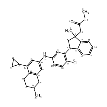 COC(=O)CC1(C)CN(c2nc(Nc3cc4c(c(C5CC5)c3)CCN(C)C4)ncc2Cl)c2ccccc21